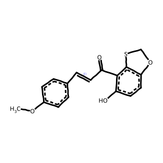 COc1ccc(/C=C/C(=O)c2c(O)ccc3c2SCO3)cc1